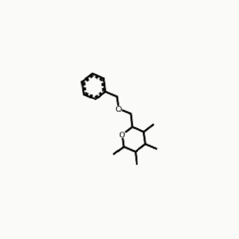 CC1OC(COCc2ccccc2)C(C)C(C)C1C